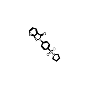 O=c1c2cccnc2sn1-c1ccc(S(=O)(=O)N2CCCC2)cc1